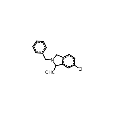 O=CC1c2cc(Cl)ccc2CN1Cc1ccccc1